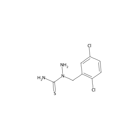 NC(=S)N(N)Cc1cc(Cl)ccc1Cl